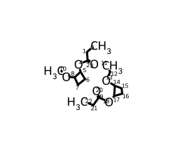 CCC(=O)OC1CCC1OC.CCOC1CCC1OC(=O)CC